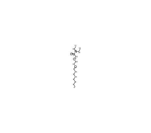 CCCCCCCCOCCOCC(=O)N(CC)CC